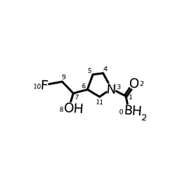 BC(=O)N1CCC(C(O)CF)C1